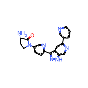 N[C@H]1CCN(c2ccc(-c3n[nH]c4cnc(-c5cccnc5)cc34)nc2)C1=O